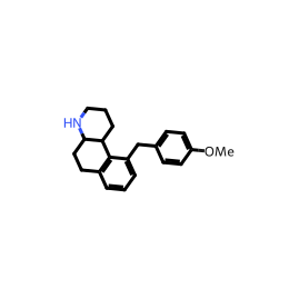 COc1ccc(Cc2cccc3c2C2CCCNC2CC3)cc1